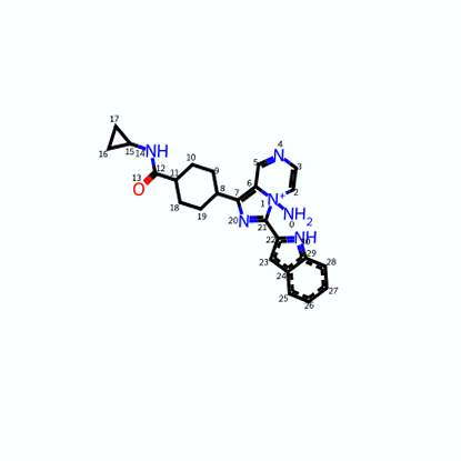 N[N+]12C=CN=CC1=C(C1CCC(C(=O)NC3CC3)CC1)N=C2c1cc2ccccc2[nH]1